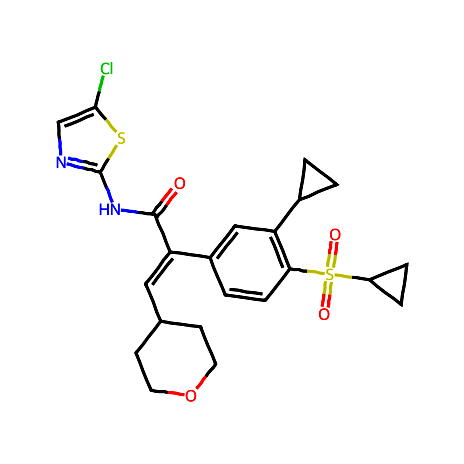 O=C(Nc1ncc(Cl)s1)/C(=C/C1CCOCC1)c1ccc(S(=O)(=O)C2CC2)c(C2CC2)c1